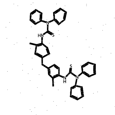 Cc1cc(Cc2ccc(NC(=S)N(c3ccccc3)c3ccccc3)c(C)c2)ccc1NC(=S)N(c1ccccc1)c1ccccc1